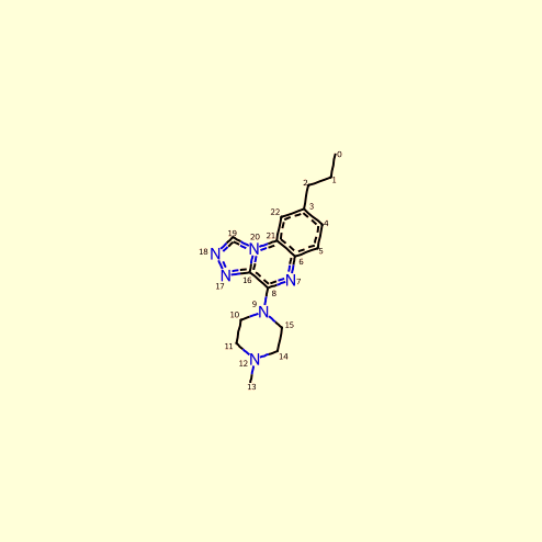 CCCc1ccc2nc(N3CCN(C)CC3)c3nncn3c2c1